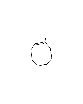 C1=[SH]CCCCCC1